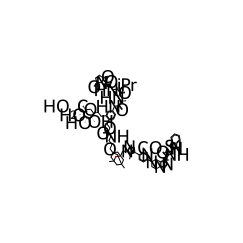 Cc1c(-c2ccc(N3CCn4cnc(C(=O)Nc5nc6ccccc6s5)c4C3)nc2C(=O)O)cnn1CC12CC3(C)CC(C)(C1)CC(OCCNC(=O)OCc1ccc(NC(=O)[C@H](C)NC(=O)[C@@H](NC(=O)CN4C(=O)C=CC4=O)C(C)C)cc1CC[C@@H]1O[C@H](C(=O)O)[C@@H](O)[C@@H](O)[C@H]1O)(C3)C2